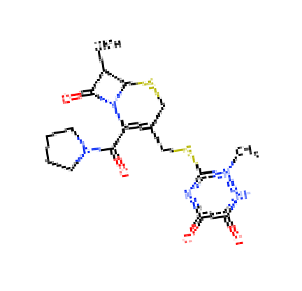 COC1C(=O)N2C(C(=O)N3CCCC3)=C(CSc3nc(=O)c(=O)[nH]n3C)CSC12